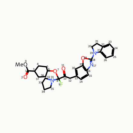 COC(=O)C1CCC(OC(F)(C(=O)Cc2ccc3nc(N4CCc5ccccc54)oc3c2)N2CCCC2)CC1